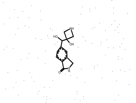 O=C1NCc2cc(C(O)C3(O)CNC3)ccc21